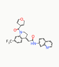 O=C(/C=C1\CCN(C(=O)C2=CCOC=C2)c2cc(C(F)(F)F)ccc21)Nc1ccc2cccnc2c1